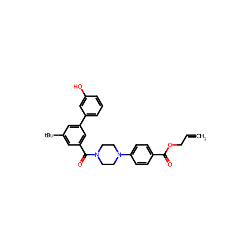 C=CCOC(=O)c1ccc(N2CCN(C(=O)c3cc(-c4cccc(O)c4)cc(C(C)(C)C)c3)CC2)cc1